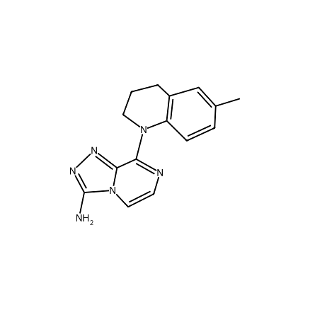 Cc1ccc2c(c1)CCCN2c1nccn2c(N)nnc12